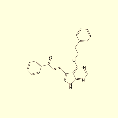 O=C(/C=C/c1c[nH]c2ncnc(OCCc3ccccc3)c12)c1ccccc1